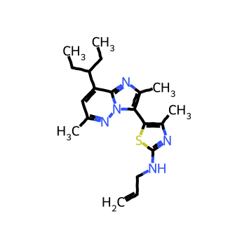 C=CCNc1nc(C)c(-c2c(C)nc3c(C(CC)CC)cc(C)nn23)s1